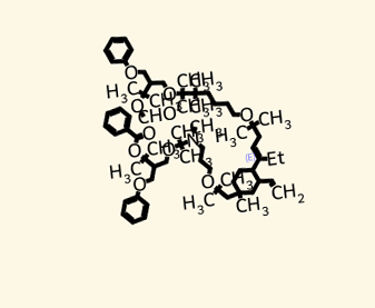 C=CC1CC(C)(CC(C)(C)OCCCN(C)C(C)(C)OCC(COc2ccccc2)C(C)(C)OC(=O)c2ccccc2)CCC1/C(=C/CC(C)(C)OCCCCC(C)(C)C(C)(C)OCC(COc1ccccc1)C(C)(C)OC=O)CC